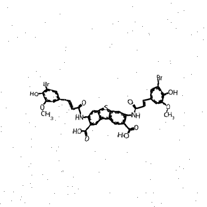 COc1cc(C=CC(=O)Nc2cc3sc4cc(NC(=O)C=Cc5cc(Br)c(O)c(OC)c5)c(C(=O)O)cc4c3cc2C(=O)O)cc(Br)c1O